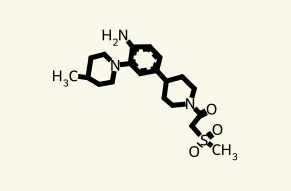 CC1CCN(c2cc(C3CCN(C(=O)CS(C)(=O)=O)CC3)ccc2N)CC1